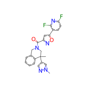 Cn1cc(C2(C)CN(C(=O)c3cc(-c4ccc(F)nc4F)on3)Cc3ccccc32)cn1